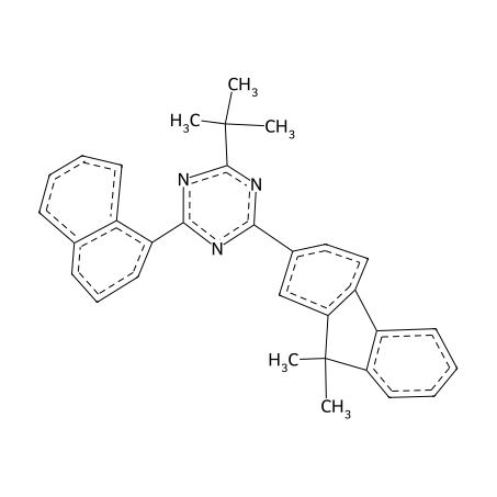 CC(C)(C)c1nc(-c2ccc3c(c2)C(C)(C)c2ccccc2-3)nc(-c2cccc3ccccc23)n1